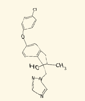 CC1Cc2cc(Oc3ccc(Cl)cc3)ccc2C1(O)Cn1cncn1